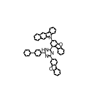 c1ccc(-c2ccc(C3N=C(c4ccc5c(c4)oc4ccccc45)N=C(c4cc(-n5c6ccccc6c6cc7ccccc7cc65)cc5oc6ccccc6c45)N3)cc2)cc1